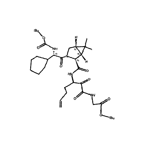 C=CCCC(NC(=O)[C@@H]1[C@@H]2[C@H](CN1C(=O)[C@@H](NC(=O)OC(C)(C)C)C1CCCCC1)C2(C)C)C(=O)C(=O)NCC(=O)OC(C)(C)C